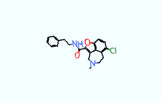 CN1CCc2c(Cl)ccc3oc(C(=O)NCCc4ccccc4)c(c23)C1